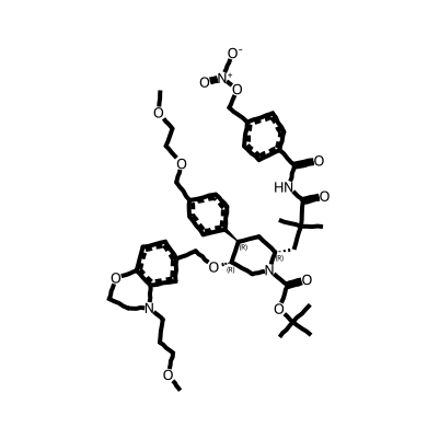 COCCCN1CCOc2ccc(CO[C@H]3CN(C(=O)OC(C)(C)C)[C@@H](CC(C)(C)C(=O)NC(=O)c4ccc(CO[N+](=O)[O-])cc4)C[C@@H]3c3ccc(COCCOC)cc3)cc21